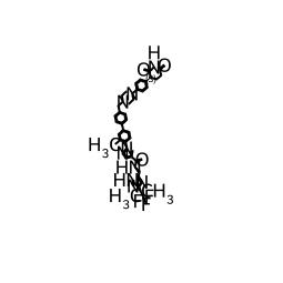 Cc1cc(-c2ccc(CN3CCN(c4ccc([C@@H]5CCC(=O)NC5=O)cc4)CC3)cc2)ccc1-n1cc(C(=O)NCc2nc(C(C)(C)C(F)(F)F)n[nH]2)cn1